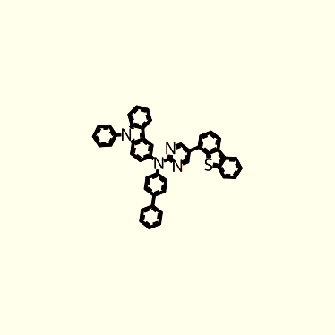 c1ccc(-c2ccc(N(c3ccc4c(c3)c3ccccc3n4-c3ccccc3)c3ncc(-c4cccc5c4sc4ccccc45)cn3)cc2)cc1